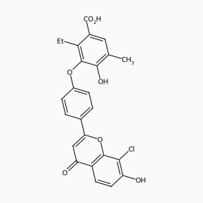 CCc1c(C(=O)O)cc(C)c(O)c1Oc1ccc(-c2cc(=O)c3ccc(O)c(Cl)c3o2)cc1